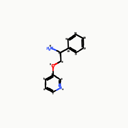 NC(COc1cccnc1)c1ccccc1